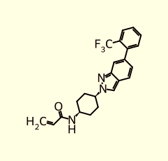 C=CC(=O)N[C@H]1CC[C@@H](n2cc3ccc(-c4ccccc4C(F)(F)F)cc3n2)CC1